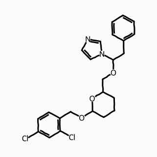 Clc1ccc(COC2CCCC(COC(Cc3ccccc3)n3ccnc3)O2)c(Cl)c1